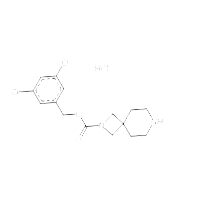 Cl.O=C(OCc1cc(Cl)cc(Cl)c1)N1CC2(CCNCC2)C1